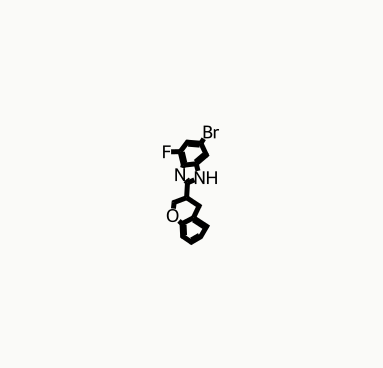 Fc1cc(Br)cc2[nH]c(C3COc4ccccc4C3)nc12